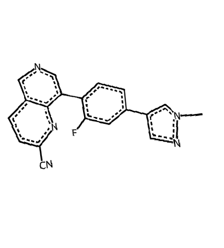 Cn1cc(-c2ccc(-c3cncc4ccc(C#N)nc34)c(F)c2)cn1